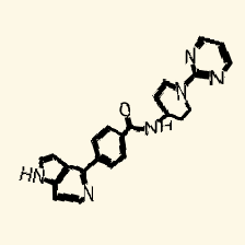 O=C(NC1CCN(c2ncccn2)CC1)c1ccc(-c2nccc3[nH]ccc23)cc1